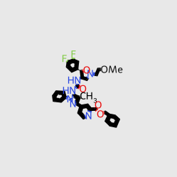 COCCN1C[C@@H](NC(=O)Nc2c(C)c(-c3ccnc(C(=O)OCc4ccccc4)c3)nn2-c2ccccc2)[C@H](c2ccc(F)c(F)c2)O1